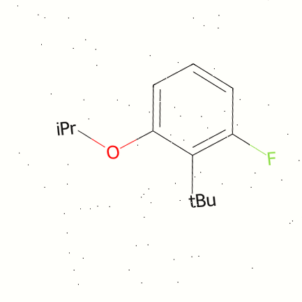 CC(C)Oc1cccc(F)c1C(C)(C)C